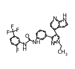 CCn1cc(-c2ccnc3[nH]ccc23)c(-c2cccc(NC(=O)Nc3cc(C(F)(F)F)ccc3F)c2)n1